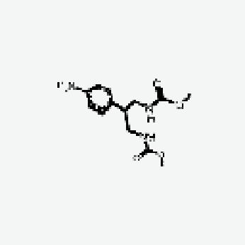 COC(=O)NCC(CNC(=O)OC)c1ccc(N)cc1